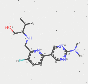 CC(C)[C@H](CO)NCc1nc(-c2cnc(N(C)C)nc2)ccc1F